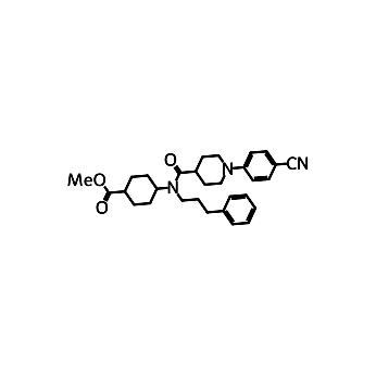 COC(=O)C1CCC(N(CCCc2ccccc2)C(=O)C2CCN(c3ccc(C#N)cc3)CC2)CC1